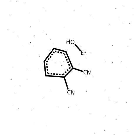 CCO.N#Cc1ccccc1C#N